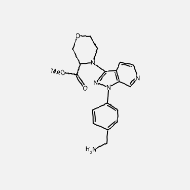 COC(=O)C1COCCN1c1nn(-c2ccc(CN)cc2)c2cnccc12